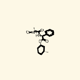 C[C@@H]1CCC[C@H](OC(=O)[C@@H](NC(=O)[C@@H](C)NCl)c2ccccc2)C1